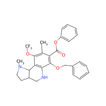 Cc1c(OC(F)(F)F)c2c(c(OCc3ccccc3)c1C(=O)Oc1ccccc1)NCC1CCN(C)C21